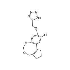 Clc1cc2c(cc1OCc1nnn[nH]1)OCOCC1=C2CCC1